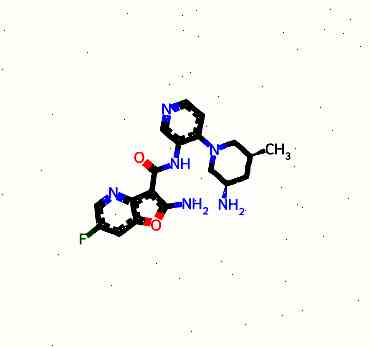 C[C@H]1C[C@@H](N)CN(c2ccncc2NC(=O)c2c(N)oc3cc(F)cnc23)C1